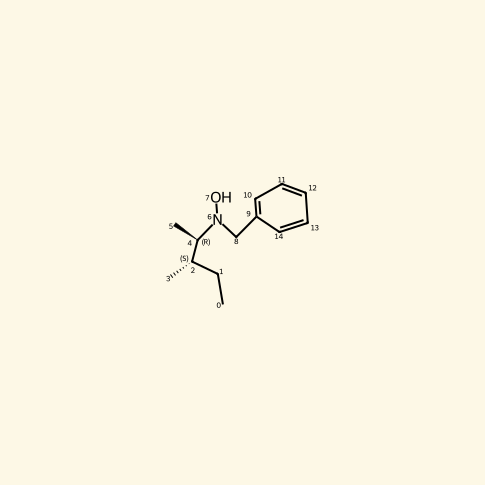 CC[C@H](C)[C@@H](C)N(O)Cc1ccccc1